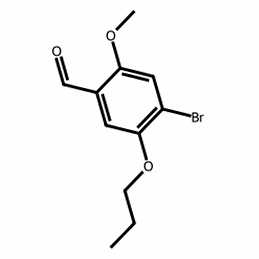 CCCOc1cc(C=O)c(OC)cc1Br